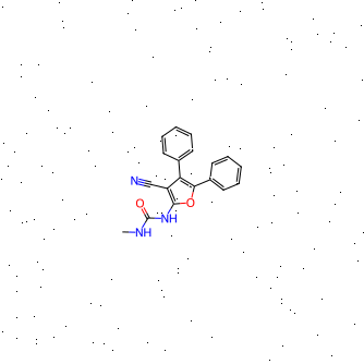 CNC(=O)Nc1oc(-c2ccccc2)c(-c2ccccc2)c1C#N